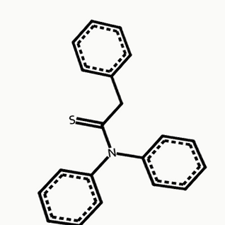 S=C(Cc1ccccc1)N(c1ccccc1)c1ccccc1